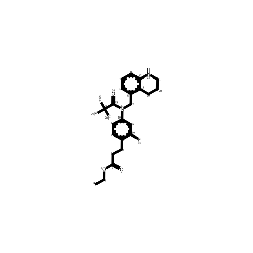 CCOC(=O)CCc1ccc(N(Cc2cccc3c2CCCN3)C(=O)C(F)(F)F)cc1F